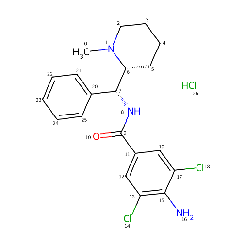 CN1CCCC[C@@H]1[C@H](NC(=O)c1cc(Cl)c(N)c(Cl)c1)c1ccccc1.Cl